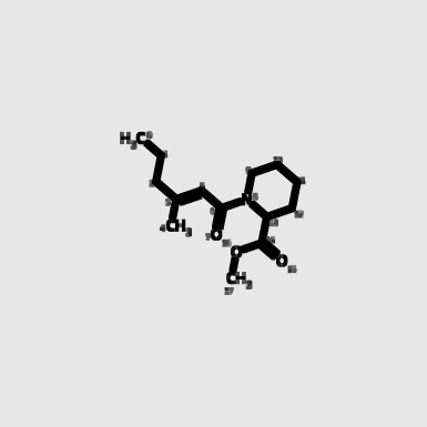 CCC/C(C)=C/C(=O)N1CCCCC1C(=O)OC